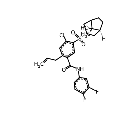 C=CCc1cc(Cl)c(S(=O)(=O)[C@@H]2CC3CC[C@@H](C2)[C@]3(C)O)cc1C(=O)Nc1ccc(F)c(F)c1